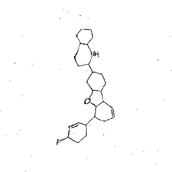 FC1C=CC(C2CC=CC3C4CCC(C5CCC6CCCCC6N5)CC4OC32)CC1